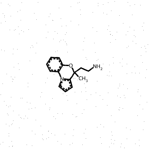 CC1(CCN)Oc2ccccc2-n2cccc21